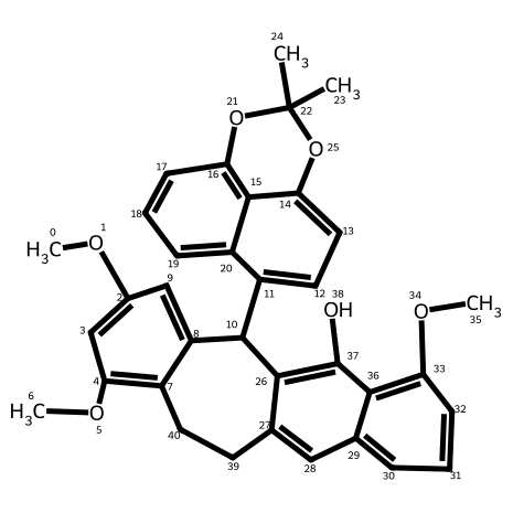 COc1cc(OC)c2c(c1)C(c1ccc3c4c(cccc14)OC(C)(C)O3)c1c(cc3cccc(OC)c3c1O)CC2